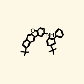 CC(C)(C)c1ccc(Nc2ccc3oc4cc5ccc(C(C)(C)C)cc5cc4c3c2)c(-c2ccccc2)c1